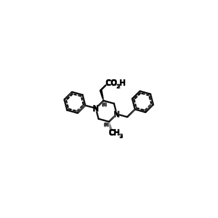 C[C@@H]1CN(c2ccccc2)[C@@H](CC(=O)O)CN1Cc1ccccc1